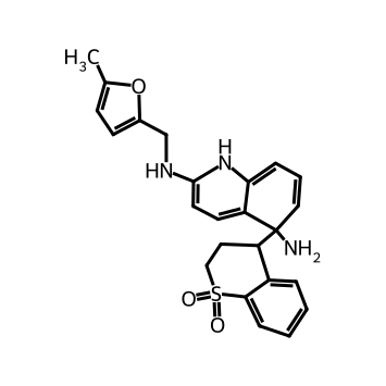 Cc1ccc(CNC2=CC=C3C(=CC=CC3(N)C3CCS(=O)(=O)c4ccccc43)N2)o1